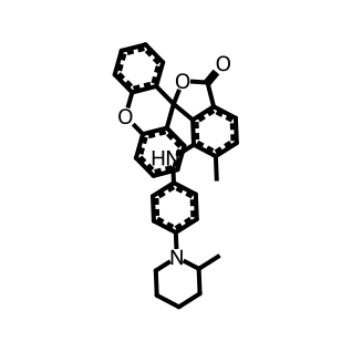 Cc1ccc2c(c1Nc1ccc(N3CCCCC3C)cc1)C1(OC2=O)c2ccccc2Oc2ccccc21